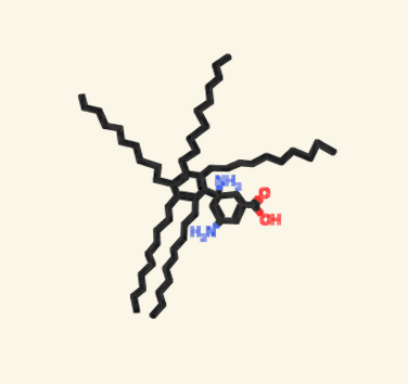 CCCCCCCCCCc1c(CCCCCCCCCC)c(CCCCCCCCCC)c(C2(N)C=C(N)C=C(C(=O)O)C2)c(CCCCCCCCCC)c1CCCCCCCCCC